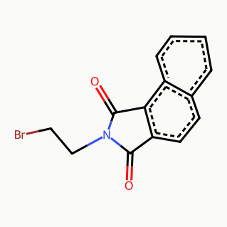 O=C1c2ccc3ccccc3c2C(=O)N1CCBr